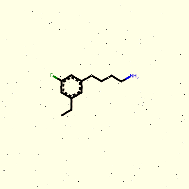 CCc1cc(F)cc(CCCCN)c1